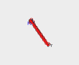 CC(C)C(=O)CCOCCOCCOCCOCCOCCOCCOCCOCCOCCOCCOCCOCCNC(=O)CCN1C(=O)C=CC1=O